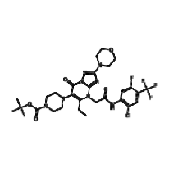 CCc1c(N2CCN(C(=O)OC(C)(C)C)CC2)c(=O)n2nc(N3CCOCC3)nc2n1CC(=O)Nc1cc(F)c(C(F)(F)F)cc1Cl